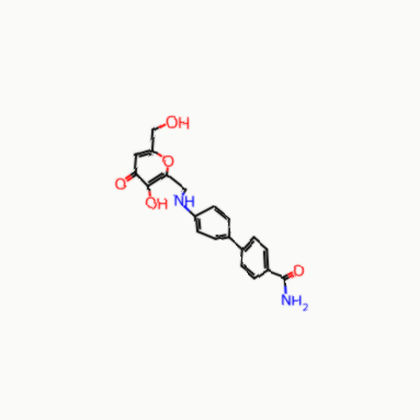 NC(=O)c1ccc(-c2ccc(NCc3oc(CO)cc(=O)c3O)cc2)cc1